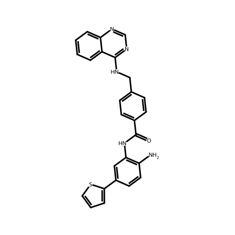 Nc1ccc(-c2cccs2)cc1NC(=O)c1ccc(CNc2ncnc3ccccc23)cc1